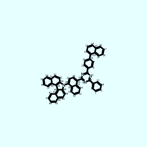 c1ccc(-c2nc(-c3ccc(-c4cccc5ccccc45)cc3)nc(-c3ccc(-n4c5ccc6ccccc6c5c5c6ccccc6ccc54)c4ccccc34)n2)cc1